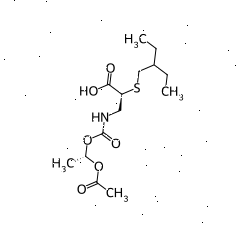 CCC(CC)CS[C@@H](CNC(=O)O[C@@H](C)OC(C)=O)C(=O)O